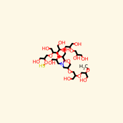 COC(CO)COC(CO)COC(CO)CN(CC(CO)OCC(CO)OCC(CO)OS)CC(CO)OCC(CO)OCC(CO)OCC(O)CO